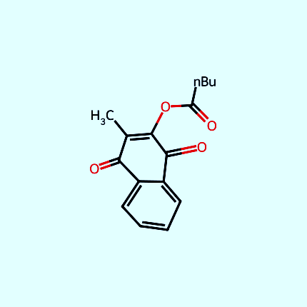 CCCCC(=O)OC1=C(C)C(=O)c2ccccc2C1=O